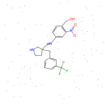 O=[N+]([O-])c1cc(NCC2(Cc3cccc(C(F)(F)F)c3)CCNC2)ccc1CO